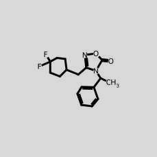 CC(c1ccccc1)n1c(CC2CCC(F)(F)CC2)noc1=O